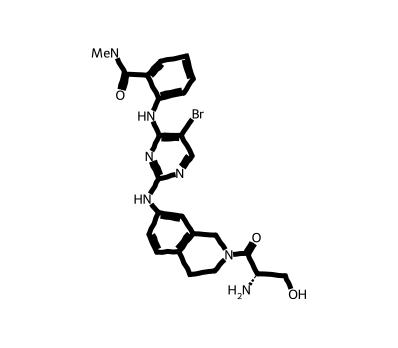 CNC(=O)c1ccccc1Nc1nc(Nc2ccc3c(c2)CN(C(=O)[C@@H](N)CO)CC3)ncc1Br